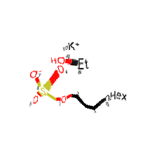 CCCCCCCCOS(=O)(=O)[O-].CCO.[K+]